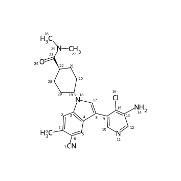 Cc1cc2c(cc1C#N)c(-c1cncc(N)c1Cl)cn2[C@H]1CC[C@H](C(=O)N(C)C)CC1